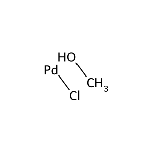 CO.[Cl][Pd]